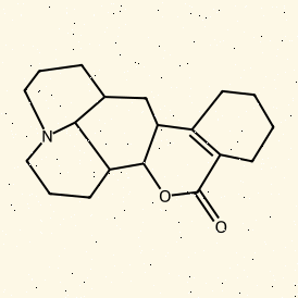 O=C1OC2C(CC3CCCN4CCCC2C34)C2=C1CCCC2